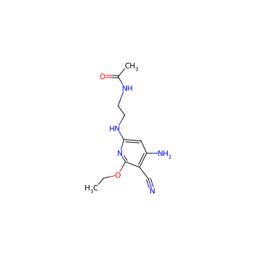 CCOc1nc(NCCNC(C)=O)cc(N)c1C#N